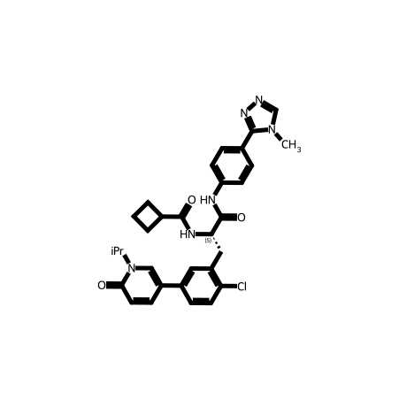 CC(C)n1cc(-c2ccc(Cl)c(C[C@H](NC(=O)C3CCC3)C(=O)Nc3ccc(-c4nncn4C)cc3)c2)ccc1=O